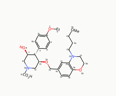 CCOc1ccc([C@H]2[C@H](O)CN(C(=O)O)C[C@@H]2OCc2ccc3c(c2)N(CCCOC)CCO3)cc1